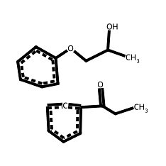 CC(O)COc1ccccc1.CCC(=O)c1ccccc1